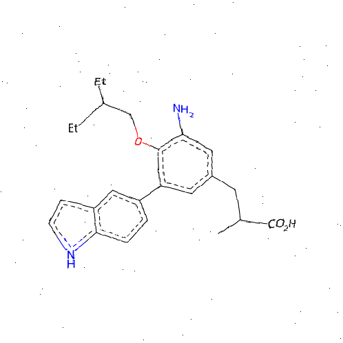 CCC(CC)COc1c(N)cc(CC(C)C(=O)O)cc1-c1ccc2[nH]ccc2c1